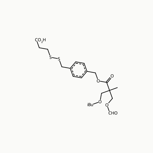 CCC(C)OCC(C)(COC=O)C(=O)OCc1ccc(CSSCCC(=O)O)cc1